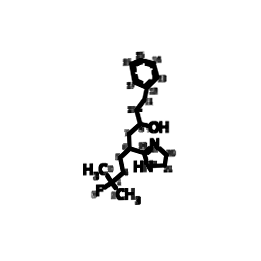 CC(C)(F)CCC(CC(O)[CH]Cc1ccccc1)C1=NCCN1